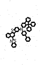 c1ccc(-c2ccc(N(c3ccc4c(c3)C(c3ccccc3)(c3ccccc3)c3ccccc3-4)c3ccc4sc5c6ccccc6c(-c6nc7ccccc7s6)cc5c4c3)cc2)cc1